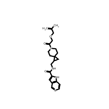 C=C(C)COCC(=O)N1CCC2(CC1)CC2CNC(=O)c1cc2cnccc2[nH]1